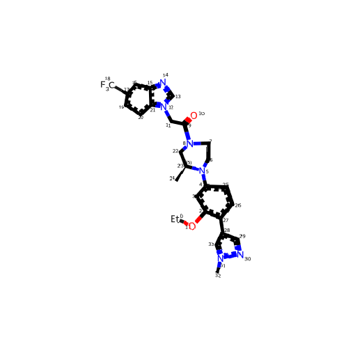 CCOc1cc(N2CCN(C(=O)Cn3cnc4cc(C(F)(F)F)ccc43)C[C@@H]2C)ccc1-c1cnn(C)c1